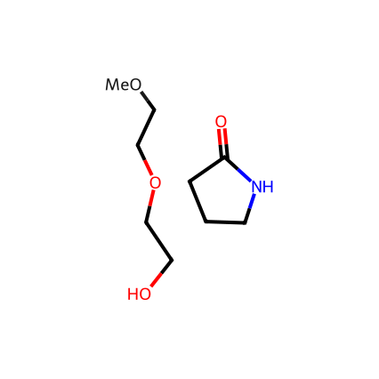 COCCOCCO.O=C1CCCN1